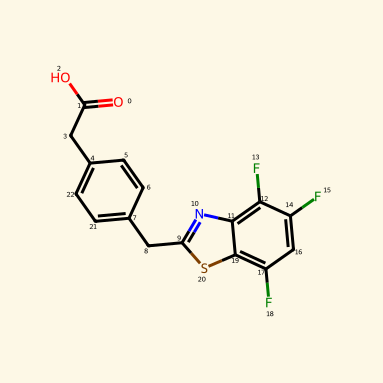 O=C(O)Cc1ccc(Cc2nc3c(F)c(F)cc(F)c3s2)cc1